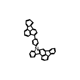 c1ccc2c(c1)-c1cccc3c(-c4ccc(-n5c6ccccc6c6c7cccc8c7c(cc65)-c5ccccc5-8)cc4)ccc-2c13